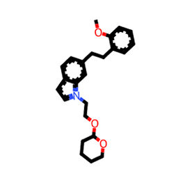 COc1ccccc1CCc1ccc2ccn(CCOC3CCCCO3)c2c1